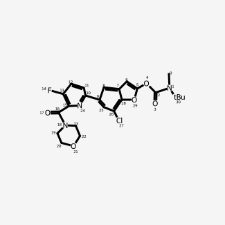 CN(C(=O)Oc1cc2cc(-c3ccc(F)c(C(=O)N4CCOCC4)n3)cc(Cl)c2o1)C(C)(C)C